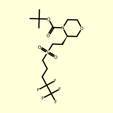 CC(C)(C)OC(=O)N1CCOC[C@H]1CCS(=O)(=O)CCCC(F)(F)C(F)(F)F